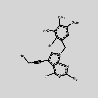 COc1cc(Cn2cc(C#CCO)c3c(Cl)nc(N)nc32)c(Br)c(OC)c1OC